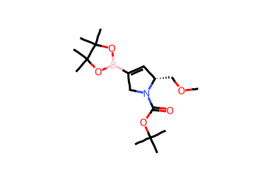 COC[C@H]1C=C(B2OC(C)(C)C(C)(C)O2)CN1C(=O)OC(C)(C)C